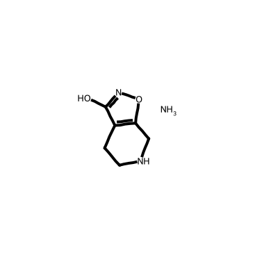 N.Oc1noc2c1CCNC2